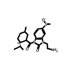 CC1CC[C@@H](C(C)C)C(C(=O)n2c(=O)n(CCN)c3cc([S+](C)[O-])ccc32)C1